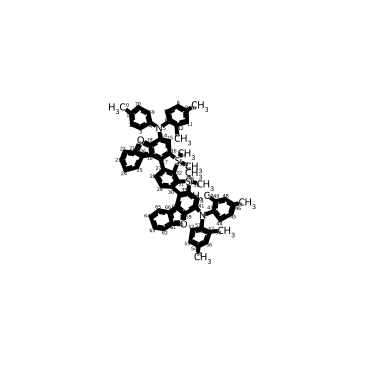 Cc1ccc(N(c2ccc(C)cc2C)c2cc3c(c4c2oc2ccccc24)-c2ccc4c(c2[Si]3(C)C)[Si](C)(C)c2cc(N(c3ccc(C)cc3C)c3ccc(C)cc3C)c3oc5ccccc5c3c2-4)cc1